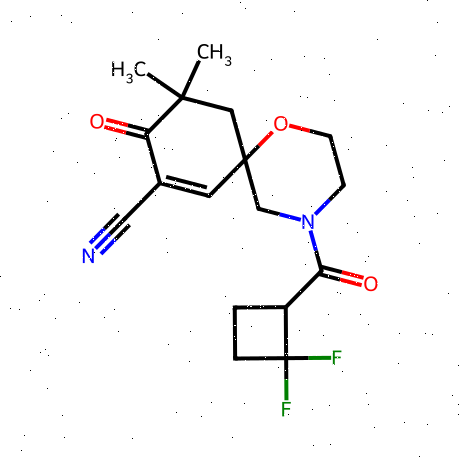 CC1(C)CC2(C=C(C#N)C1=O)CN(C(=O)C1CCC1(F)F)CCO2